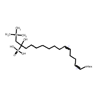 CCCCCC/C=C\CC/C=C\CCCCCCCC(O)(C[N+](C)(C)C)P(=O)(O)O